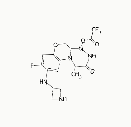 CC1C(=O)NN(OC(=O)C(F)(F)F)C2COc3cc(F)c(NC4CNC4)cc3N12